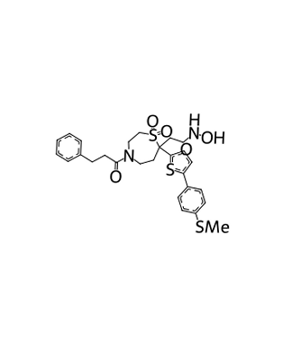 CSc1ccc(-c2ccc(C3(CC(=O)NO)CCN(C(=O)CCc4ccccc4)CCS3(=O)=O)s2)cc1